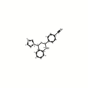 N#Cc1ccc(C2CC(n3ccnc3)c3ccccc3N2)cc1